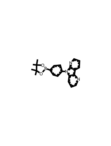 CC1(C)OB(c2ccc(-n3c4cccnc4c4cccnc43)cc2)OC1(C)C